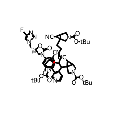 CC(C)(C)OC(=O)N1CC2C(C#N)C2(CCCCC(C(c2ccncc2-c2ccc(N3C[C@H](Cn4cc(F)nn4)OC3=O)cc2F)C23CN(C(=O)OC(C)(C)C)CC2C3C#N)C23CN(C(=O)OC(C)(C)C)CC2C3C#N)C1